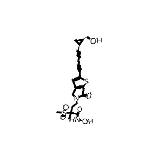 CC(CCN1Cc2cc(C#CC#C[C@H]3C[C@@H]3CO)sc2C1=O)(C(=O)NO)S(C)(=O)=O